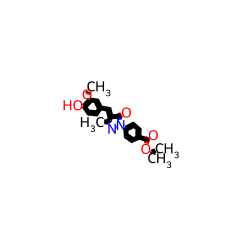 COc1cc(/C=C2/C(=O)N(c3ccc(C(=O)OC(C)C)cc3)N=C2C)ccc1O